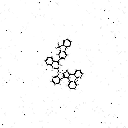 CC1(C)c2ccccc2-c2ccc(-c3nc(-n4c5ccccc5c5c4nc4c6ccccc6c6ccccc6n45)nc4ccccc34)cc21